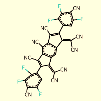 N#CC(C#N)=C1C(c2cc(F)c(C#N)c(F)c2F)=C(C#N)c2c1cc1c(c2C#N)C(C#N)=C(c2cc(F)c(C#N)c(F)c2F)C1=C(C#N)C#N